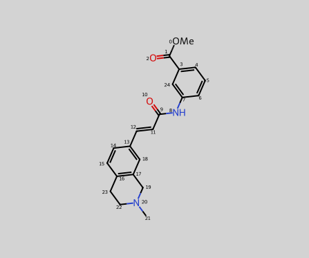 COC(=O)c1cccc(NC(=O)C=Cc2ccc3c(c2)CN(C)CC3)c1